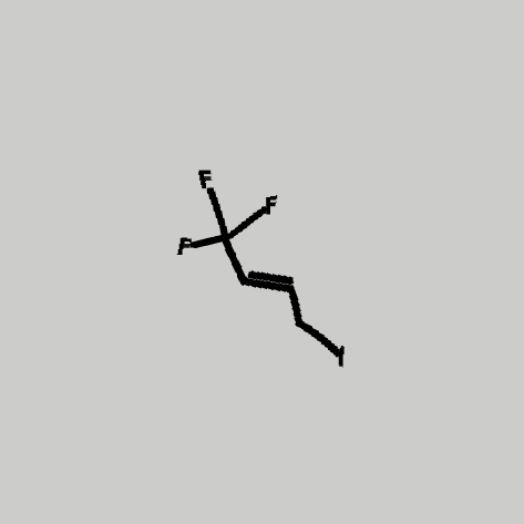 FC(F)(F)C=CCI